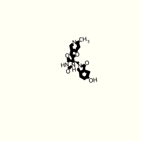 Cc1cc2oc([C@]3(CN4Cc5ccc(O)cc5C4=O)NC(=O)NC3=O)cc2cn1